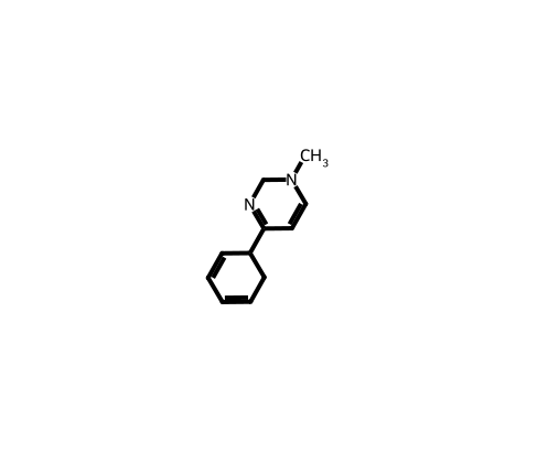 CN1C=CC(C2C=CC=CC2)=NC1